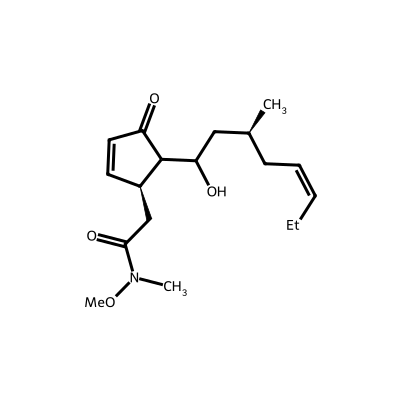 CC/C=C\C[C@H](C)CC(O)C1C(=O)C=C[C@@H]1CC(=O)N(C)OC